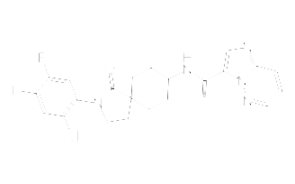 O=C(NC1CCC2(CC1)CCN(c1cc(F)c(F)cc1Cl)C2=O)c1cnc2cccnn12